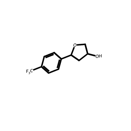 OC1COC(c2ccc(C(F)(F)F)cc2)C1